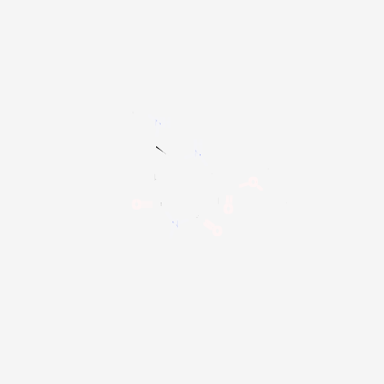 CC[C@@]1(C(=O)OC)N[C@H](CNC)[C@@H]2C(=O)N(Cc3ccccc3)C(=O)[C@@H]21